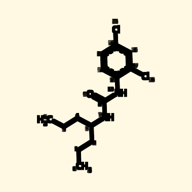 CCCC(CCC)NC(=O)Nc1ccc(Cl)cc1Cl